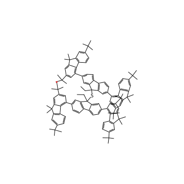 CCC1(SC2(CC)c3cc(-c4cc(C(C)(C)C)cc5c4-c4ccc(C(C)(C)C)cc4C5(C)C)ccc3-c3ccc(-c4cc(C(C)(C)C)cc5c4-c4ccc(C(C)(C)C)cc4C5(C)C)cc32)c2cc(-c3cc(C(C)(C)C)cc4c3-c3ccc(C(C)(C)C)cc3C4(C)C)ccc2-c2ccc(-c3cc(C(C)(C)C)cc4c3-c3ccc(C(C)(C)C)cc3C4(C)C)cc21